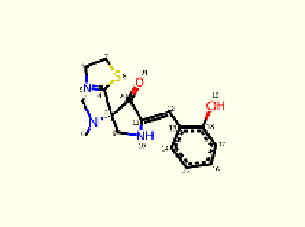 CN(C)[C@@]1(C2=NCCS2)CN/C(=C\c2ccccc2O)C1=O